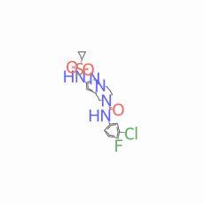 O=C(Nc1ccc(F)c(Cl)c1)N1CCn2nc(NS(=O)(=O)C3CC3)cc2C1